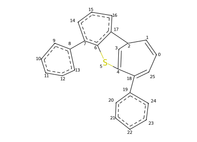 C1=CC2C=C(Sc3c(-c4ccccc4)cccc32)C(c2ccccc2)=C1